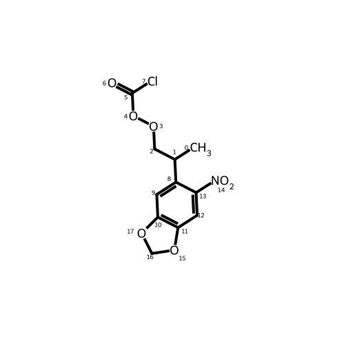 CC(COOC(=O)Cl)c1cc2c(cc1[N+](=O)[O-])OCO2